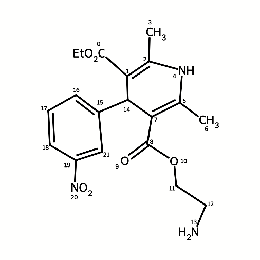 CCOC(=O)C1=C(C)NC(C)=C(C(=O)OCCN)C1c1cccc([N+](=O)[O-])c1